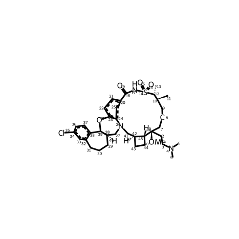 CO[C@]1(CCN(C)C)CCC[C@H](C)[C@@H](C)S(=O)(=O)NC(=O)c2ccc3c(c2)N(C[C@H]2CCCc4cc(Cl)ccc4C2O3)C[C@@H]2CC[C@H]21